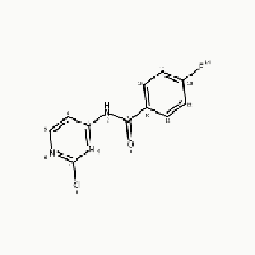 O=C(Nc1ccnc(Cl)n1)c1ccc(F)cc1